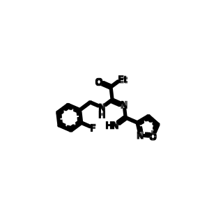 CCC(=O)/C(=N/C(=N)c1ccon1)NCc1ccccc1F